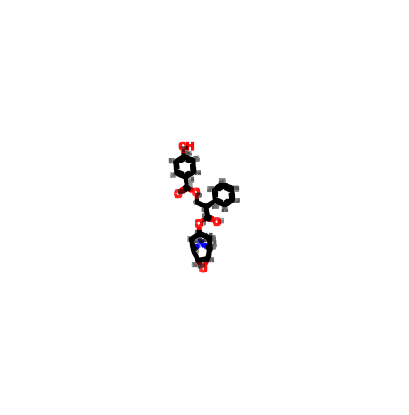 CN1C2CC(OC(=O)C(COC(=O)c3ccc(O)cc3)c3ccccc3)CC1C1OC12